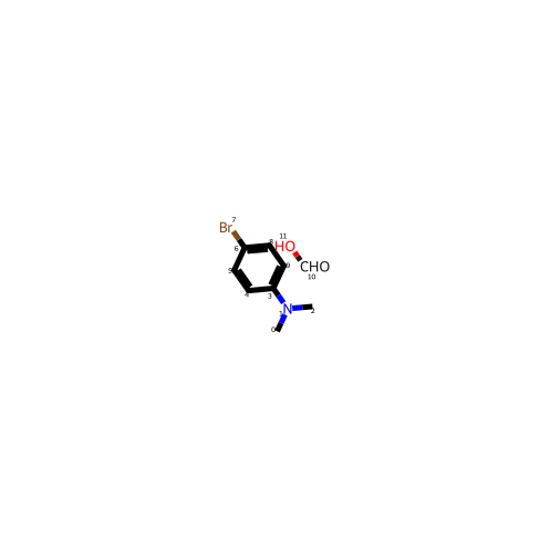 CN(C)c1ccc(Br)cc1.O=CO